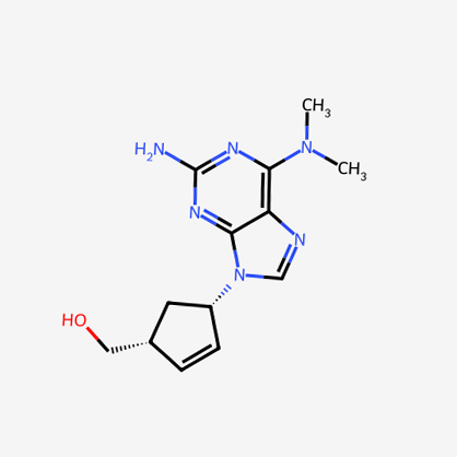 CN(C)c1nc(N)nc2c1ncn2[C@@H]1C=C[C@H](CO)C1